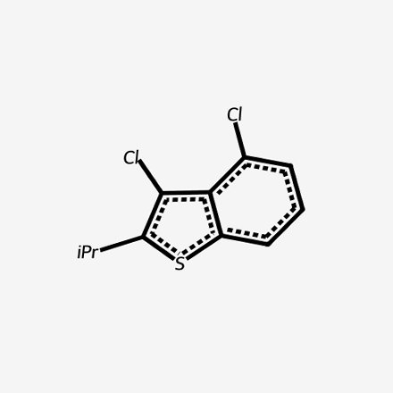 CC(C)c1sc2cccc(Cl)c2c1Cl